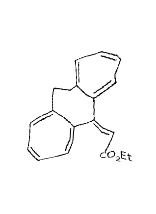 CCOC(=O)C=C1c2ccccc2Cc2ccccc21